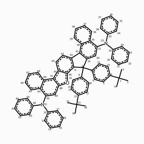 CC(C)(C)c1ccc(C2(c3ccc(C(C)(C)C)cc3)c3cc(N(c4ccccc4)c4ccccc4)c4ccccc4c3-c3ccc4c(oc5cc(N(c6ccccc6)c6ccccc6)c6ccccc6c54)c32)cc1